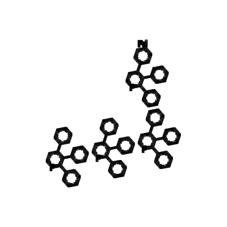 [Pd].c1ccc(-c2ccpc(-c3ccccc3)c2-c2ccccc2)cc1.c1ccc(-c2ccpc(-c3ccccc3)c2-c2ccccc2)cc1.c1ccc(-c2ccpc(-c3ccccc3)c2-c2ccccc2)cc1.c1ccc(-c2ccpc(-c3ccccc3)c2-c2ccccc2)cc1